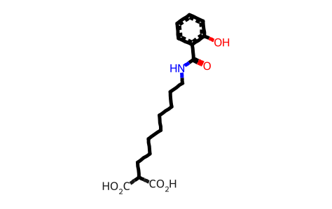 O=C(NCCCCCCCCC(C(=O)O)C(=O)O)c1ccccc1O